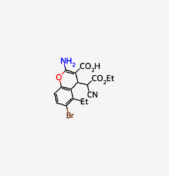 CCOC(=O)C(C#N)C1C(C(=O)O)=C(N)Oc2ccc(Br)c(CC)c21